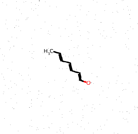 C/C=C/C=C/C=C/[O]